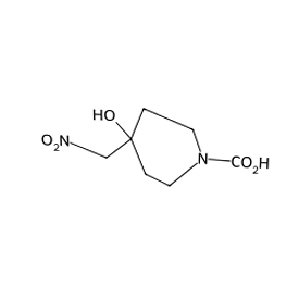 O=C(O)N1CCC(O)(C[N+](=O)[O-])CC1